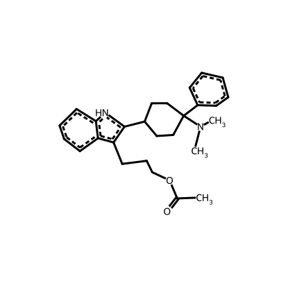 CC(=O)OCCCc1c(C2CCC(c3ccccc3)(N(C)C)CC2)[nH]c2ccccc12